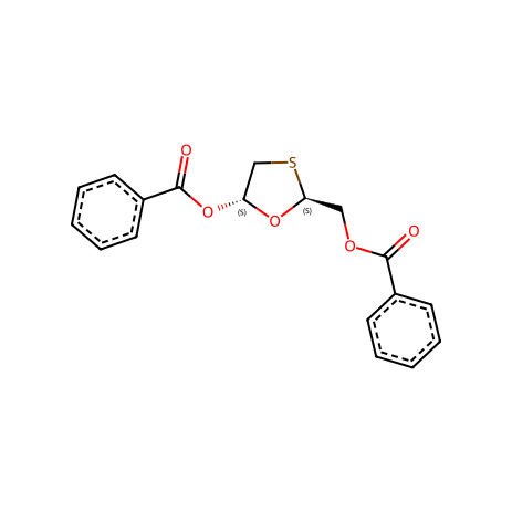 O=C(OC[C@H]1O[C@H](OC(=O)c2ccccc2)CS1)c1ccccc1